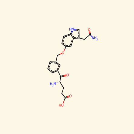 NC(=O)Cc1c[nH]c2ccc(OCc3cccc(C(=O)[C@@H](N)CCC(=O)O)c3)cc12